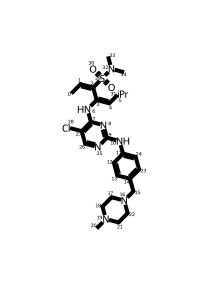 C/C=C(\C(=C/C(C)C)Nc1nc(Nc2ccc(CN3CCN(C)CC3)cc2)ncc1Cl)S(=O)(=O)N(C)C